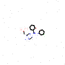 CCCCOC(=O)C[C@H]1CN(C2=Nc3cc(Cl)ccc3Oc3ccccc32)CCN1C